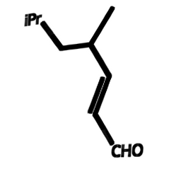 CC(C)CC(C)/C=C/C=O